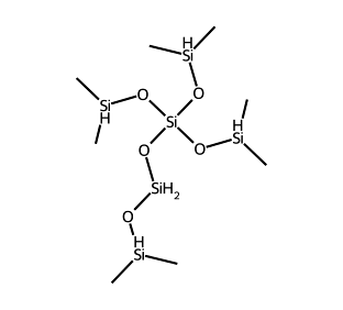 C[SiH](C)O[SiH2]O[Si](O[SiH](C)C)(O[SiH](C)C)O[SiH](C)C